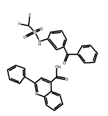 O=C(O)c1cc(-c2ccccc2)nc2ccccc12.O=C(c1ccccc1)c1cccc(NS(=O)(=O)C(F)F)c1